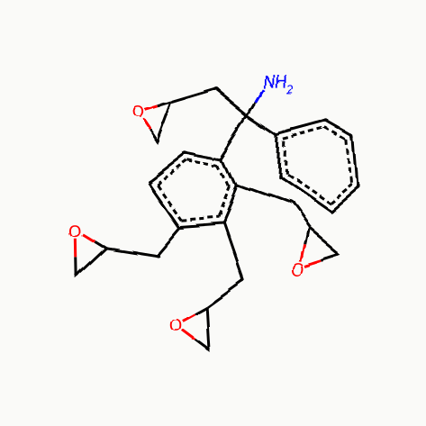 NC(CC1CO1)(c1ccccc1)c1ccc(CC2CO2)c(CC2CO2)c1CC1CO1